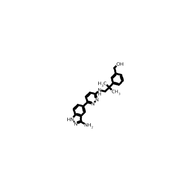 CC(C)(CNc1ccc(-c2ccc3[nH]nc(N)c3c2)nn1)c1cccc(CO)c1